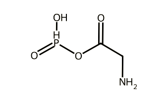 NCC(=O)O[PH](=O)O